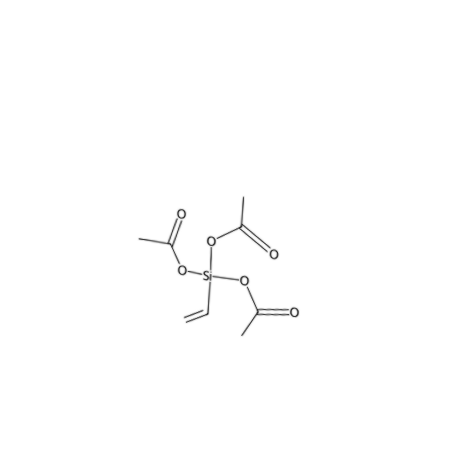 C=C[Si](OC(C)=O)(OC(C)=O)OC(C)=O